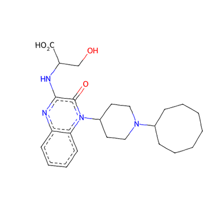 O=C(O)C(CO)Nc1nc2ccccc2n(C2CCN(C3CCCCCCC3)CC2)c1=O